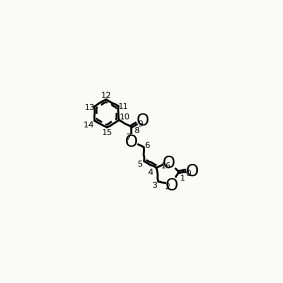 O=C1OC/C(=C/COC(=O)c2ccccc2)O1